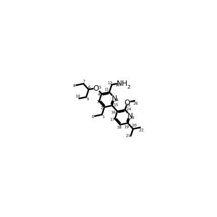 CCc1cc(OC(CC)CC)c(CN)nc1-c1ccc(C(C)C)nc1OC